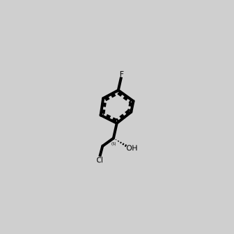 O[C@H](CCl)c1ccc(F)cc1